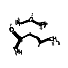 CC(C)OC(C)C.CCCC(=O)O